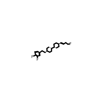 FCCC=C[C@H]1CC[C@H]([C@H]2CC[C@H](CCc3ccc(F)c(F)c3)CC2)CC1